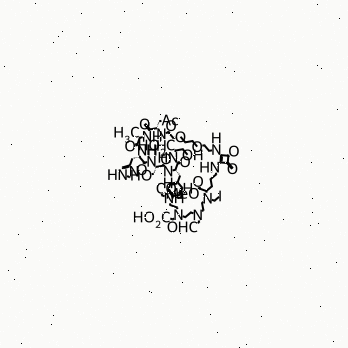 COC(=O)C(CCCNc1c(NCCOCCOCC(=O)N[C@@H](CC(C)=O)C(=O)N[C@@H](C)C(=O)N[C@@H](Cc2c[nH]cn2)C(=O)N[C@@H](CO)C(=O)N[C@@H](Cc2ccccc2)C(=O)N[C@@H](CO)C(=O)O)c(=O)c1=O)N(CI)CCN(CC=O)CCN(CCNCC(=O)O)CC(=O)O